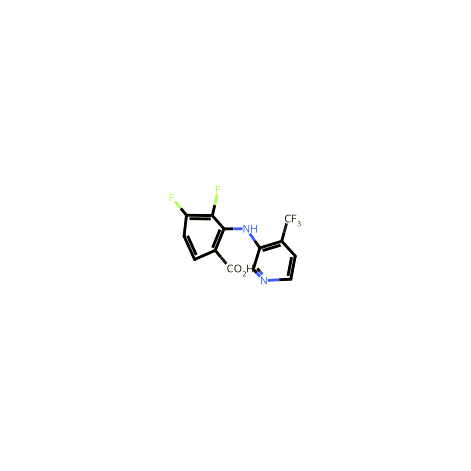 O=C(O)c1ccc(F)c(F)c1Nc1cnccc1C(F)(F)F